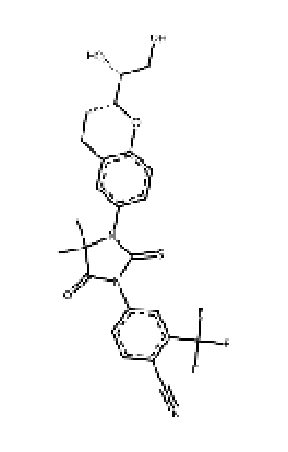 CC1(C)C(=O)N(c2ccc(C#N)c(C(F)(F)F)c2)C(=S)N1c1ccc2c(c1)CC[C@H]([C@H](O)CO)O2